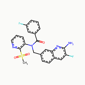 CS(=O)(=O)c1ncccc1N(Cc1ccc2cc(F)c(N)nc2c1)C(=O)c1cccc(F)c1